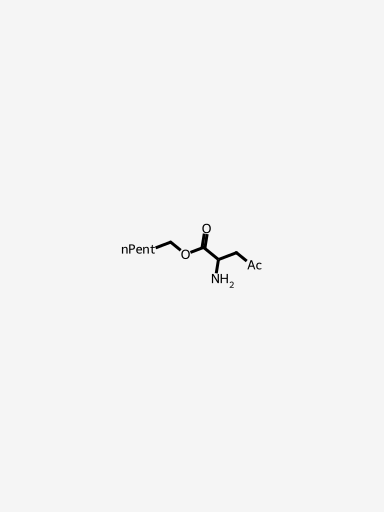 CCCCCCOC(=O)C(N)CC(C)=O